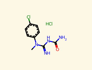 CN(C(=N)NC(N)=O)c1ccc(Cl)cc1.Cl